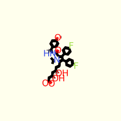 COC(=O)C[C@H](O)C[C@H](O)C=Cc1c(-c2ccc(F)cc2)c(-c2ccc(F)cc2)c(C(=O)N[C@H](C)c2ccc(OC)cc2)n1C(C)C